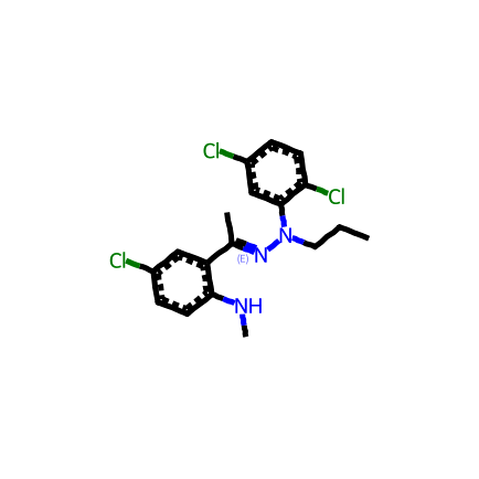 CCCN(/N=C(\C)c1cc(Cl)ccc1NC)c1cc(Cl)ccc1Cl